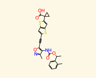 Cc1ccccc1C(C)OC(=O)Nc1c(C)noc1C#Cc1cc2sc(C3(C(=O)O)CC3)cc2s1